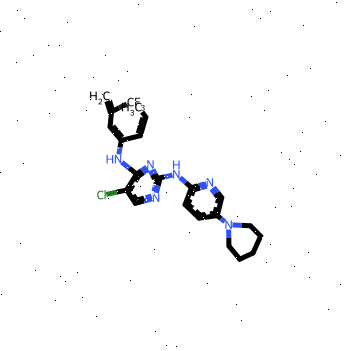 C=C(/C=C(\C=C/C)Nc1nc(Nc2ccc(N3CCCCC3)cn2)ncc1Cl)C(F)(F)F